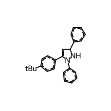 CC(C)(C)c1ccc(C2=CC(c3ccccc3)NN2c2ccccc2)cc1